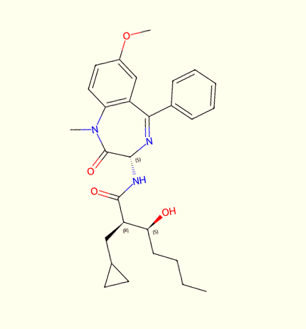 CCCC[C@H](O)[C@@H](CC1CC1)C(=O)N[C@H]1N=C(c2ccccc2)c2cc(OC)ccc2N(C)C1=O